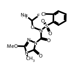 COc1nn(C(=O)N(OC(F)F)S(=O)(=O)c2ccccc2Cl)c(=O)n1C.[Na]